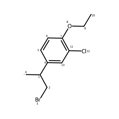 [CH2]C(CBr)c1ccc(OCC)c(Cl)c1